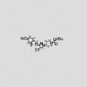 CCc1cn(C2CCN(C(=O)OC(C)(C)C)CC2)nc1OCc1ccc(C#N)cc1F